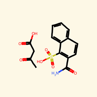 CC(=O)CC(=O)O.NC(=O)c1ccc2ccccc2c1S(=O)(=O)O